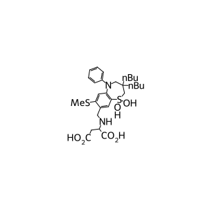 CCCCC1(CCCC)CN(c2ccccc2)c2cc(SC)c(CNC(CC(=O)O)C(=O)O)cc2S(O)(O)C1